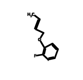 CC=CCOc1ccc[c]c1F